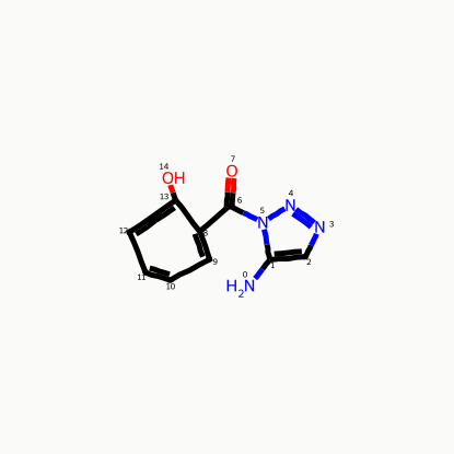 Nc1cnnn1C(=O)c1ccccc1O